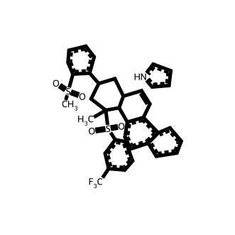 CC1(S(=O)(=O)c2cccc(C(F)(F)F)c2)CC(c2ccccc2S(C)(=O)=O)CC2C=Cc3c(ccc4ccccc34)C21.c1cc[nH]c1